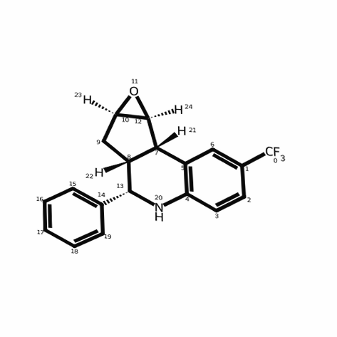 FC(F)(F)c1ccc2c(c1)[C@@H]1[C@@H](C[C@H]3O[C@@H]13)[C@@H](c1ccccc1)N2